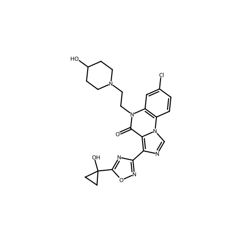 O=c1c2c(-c3noc(C4(O)CC4)n3)ncn2c2ccc(Cl)cc2n1CCN1CCC(O)CC1